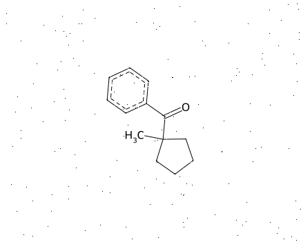 CC1(C(=O)c2ccccc2)CCCC1